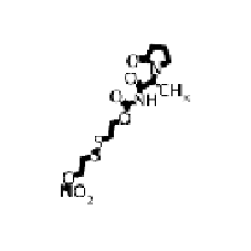 C[C@@H](C(=O)NC(=O)OCCSSCCO[N+](=O)[O-])N1CCCC1=O